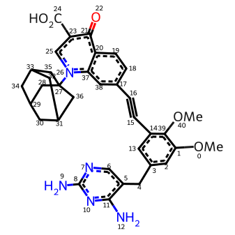 COc1cc(Cc2cnc(N)nc2N)cc(C#Cc2ccc3c(=O)c(C(=O)O)cn(C45CC6CC(CC(C6)C4)C5)c3c2)c1OC